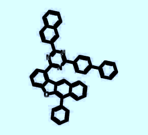 c1ccc(-c2ccc(-c3nc(-c4ccc5ccccc5c4)nc(-c4cccc5oc6c(-c7ccccc7)c7ccccc7cc6c45)n3)cc2)cc1